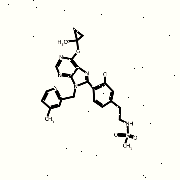 Cc1ccnc(Cn2c(-c3ccc(CCNS(C)(=O)=O)cc3Cl)nc3c(OC4(C)CC4)ncnc32)c1